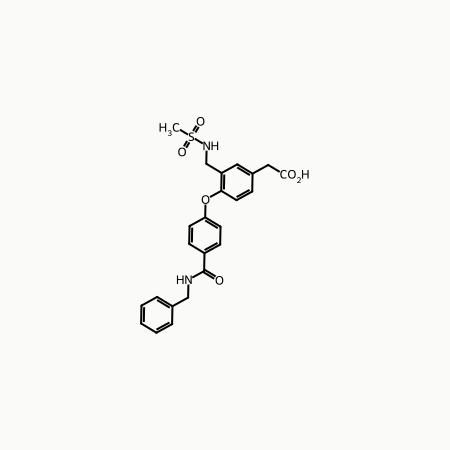 CS(=O)(=O)NCc1cc(CC(=O)O)ccc1Oc1ccc(C(=O)NCc2ccccc2)cc1